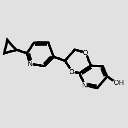 Oc1cnc2c(c1)OCC(c1ccc(C3CC3)nc1)O2